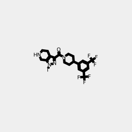 O=C(c1nn(I)c2c1CCNC2)N1CCC(c2cc(C(F)(F)F)cc(C(F)(F)F)c2)CC1